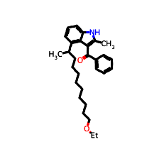 CCOCCCCCCCCCC(C)c1cccc2[nH]c(C)c(C(=O)c3ccccc3)c12